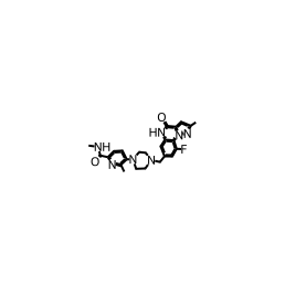 CNC(=O)c1ccc(N2CCN(Cc3cc(F)c4c(c3)[nH]c(=O)c3cc(C)nn34)CC2)c(C)n1